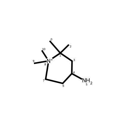 CC1(C)CC(N)CC[N+]1(C)C